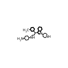 Cc1cccc(C(CCNC2CCC(N)CC2)c2cn(C3CCNCC3)c3ccccc23)c1